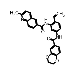 C=Cc1ccc(NC(=O)c2ccc3c(c2)OCCO3)cc1NC(=O)c1ccc2nc(C)ccc2c1